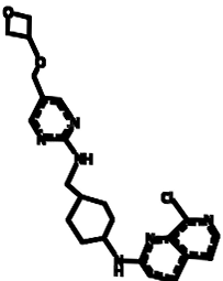 Clc1nccc2ccc(NC3CCC(CNc4ncc(COC5COC5)cn4)CC3)nc12